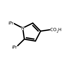 CC(C)c1cc(C(=O)O)cn1C(C)C